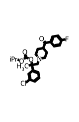 CC(C)OC(=O)OC(C)(CN1CCC(C(=O)c2ccc(F)cc2)CC1)c1cccc(Cl)c1